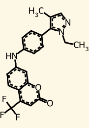 CCn1ncc(C)c1-c1ccc(Nc2ccc3c(C(F)(F)F)cc(=O)oc3c2)cc1